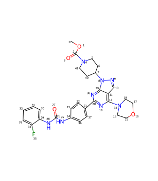 COC(=O)N1CCC(n2ncc3c(N4CCOCC4)nc(-c4ccc(NC(=O)Nc5ccccc5F)cc4)nc32)CC1